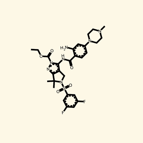 CCOC(=O)n1nc2c(c1NC(=O)c1ccc(N3CCN(C)CC3)cc1N)CN(S(=O)(=O)c1cc(F)cc(F)c1)C2(C)C